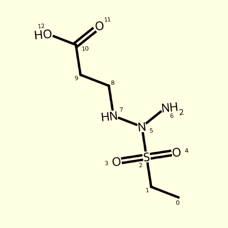 CCS(=O)(=O)N(N)NCCC(=O)O